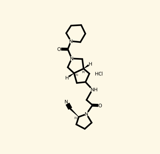 Cl.N#C[C@@H]1CCCN1C(=O)CNC1C[C@@H]2CN(C(=O)N3CCCCC3)C[C@@H]2C1